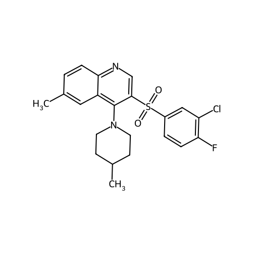 Cc1ccc2ncc(S(=O)(=O)c3ccc(F)c(Cl)c3)c(N3CCC(C)CC3)c2c1